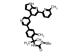 Cc1cccc(-c2cc(-c3cncc(-c4ccc(C(C)(C)NC(=O)OC(C)(C)C)c(C)c4)c3)c3cc[nH]c3n2)n1